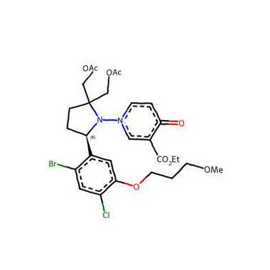 CCOC(=O)c1cn(N2[C@@H](c3cc(OCCCOC)c(Cl)cc3Br)CCC2(COC(C)=O)COC(C)=O)ccc1=O